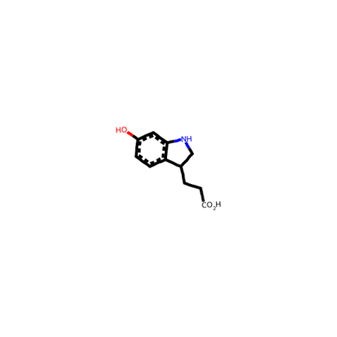 O=C(O)CCC1CNc2cc(O)ccc21